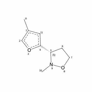 Cc1coc([C@@H]2CCON2C)c1